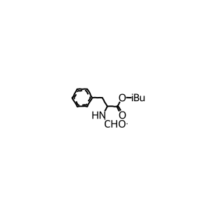 CCC(C)OC(=O)C(Cc1ccccc1)N[C]=O